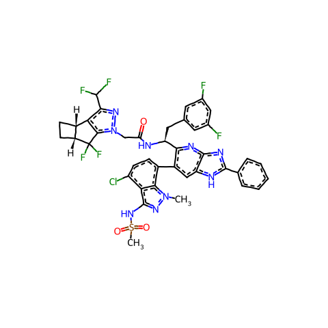 Cn1nc(NS(C)(=O)=O)c2c(Cl)ccc(-c3cc4[nH]c(-c5ccccc5)nc4nc3[C@H](Cc3cc(F)cc(F)c3)NC(=O)Cn3nc(C(F)F)c4c3C(F)(F)[C@@H]3CC[C@H]43)c21